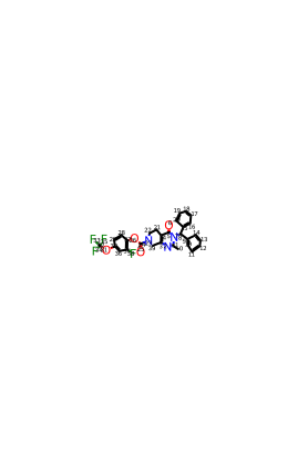 Cc1nc2c(c(=O)n1C(c1ccccc1)c1ccccc1)CCN(C(=O)Oc1ccc(OC(F)(F)F)cc1F)C2